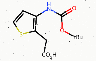 CC(C)(C)OC(=O)Nc1ccsc1CC(=O)O